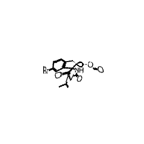 CC(C)N1C(=O)NC2(C1=O)c1cc(Br)ccc1C[C@]21CC[C@@H](OC=O)CC1